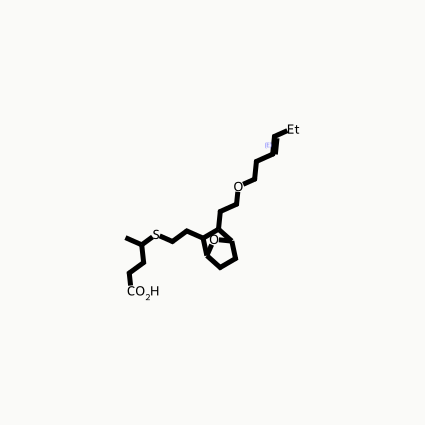 CC/C=C/CCOCCC1C2CCC(O2)C1CCSC(C)CCC(=O)O